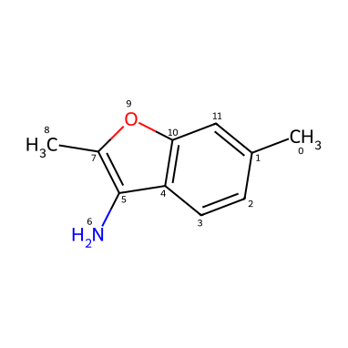 Cc1ccc2c(N)c(C)oc2c1